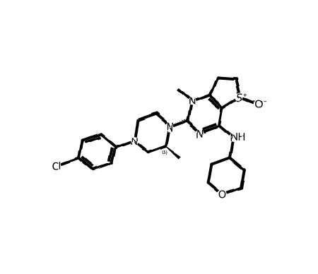 C[C@H]1CN(c2ccc(Cl)cc2)CCN1C1N=C(NC2CCOCC2)C2=C(CC[S+]2[O-])N1C